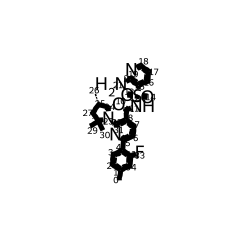 Cc1ccc(-c2ccc(C(=O)NS(=O)(=O)c3cccnc3N)c(N3C[C@@H](C)CC3(C)C)n2)c(F)c1